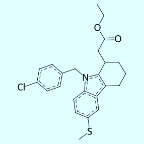 CCOC(=O)CC1CCCc2c1n(Cc1ccc(Cl)cc1)c1ccc(SC)cc21